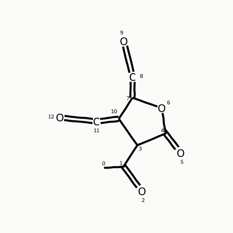 CC(=O)C1C(=O)OC(=C=O)C1=C=O